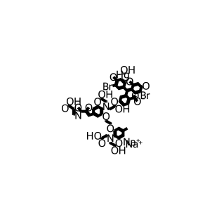 Cc1ccc(N(CC(=O)O)CC(=O)O)c(OCCOc2cc3cc(-c4ncc(C(=O)O)o4)oc3cc2N(CC(=O)O)CC(=O)O)c1.O=C([O-])c1ccccc1-c1c2cc(Br)c(=O)cc-2oc2[c]([Hg][OH])c([O-])c(Br)cc12.[Na+].[Na+]